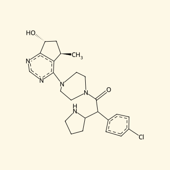 C[C@@H]1C[C@@H](O)c2ncnc(N3CCN(C(=O)C(c4ccc(Cl)cc4)C4CCCN4)CC3)c21